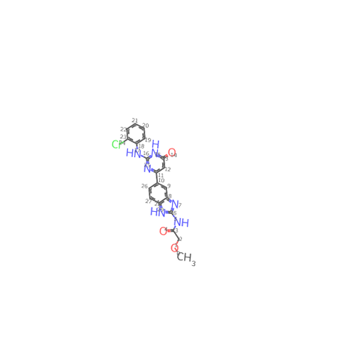 COCC(=O)Nc1nc2cc(-c3cc(=O)[nH]c(Nc4ccccc4Cl)n3)ccc2[nH]1